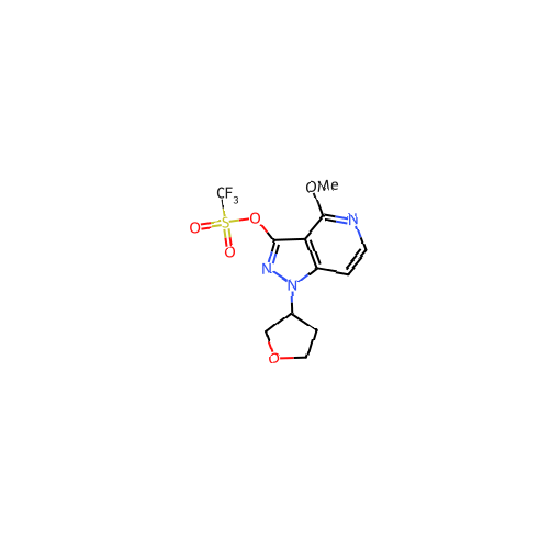 COc1nccc2c1c(OS(=O)(=O)C(F)(F)F)nn2C1CCOC1